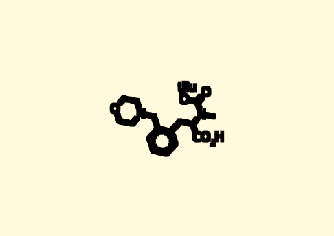 CN(C(=O)OC(C)(C)C)C(Cc1ccccc1CN1CCOCC1)C(=O)O